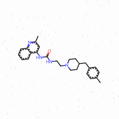 Cc1ccc(CC2CCN(CCNC(=O)Nc3cc(C)nc4ccccc34)CC2)cc1